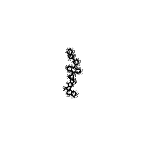 CC1(C)c2cc3c(cc2-c2c1ccc1ccccc21)sc1cc(-c2c4ccccc4c(-c4cccc(-c5ccc6ccccc6c5)c4)c4ccccc24)ccc13